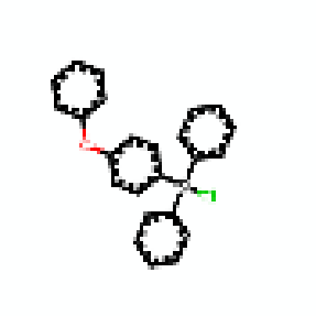 Cl[Si](c1ccccc1)(c1ccccc1)c1ccc(Oc2ccccc2)cc1